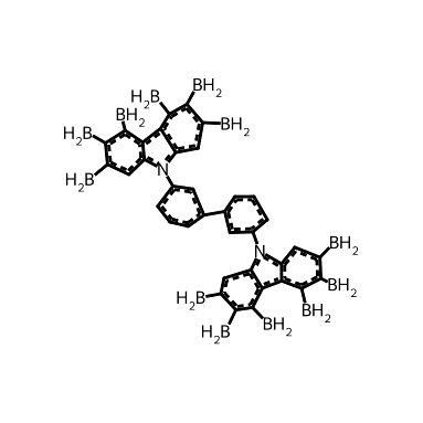 Bc1cc2c(c(B)c1B)c1c(B)c(B)c(B)cc1n2-c1cccc(-c2cccc(-n3c4cc(B)c(B)c(B)c4c4c(B)c(B)c(B)cc43)c2)c1